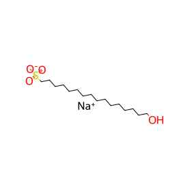 O=S(=O)([O-])CCCCCCCCCCCCCCCCO.[Na+]